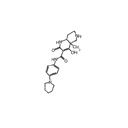 CC12CNCCC1NC(=O)C(C(=O)Nc1ccc(N3CCCCC3)cc1)=C2O